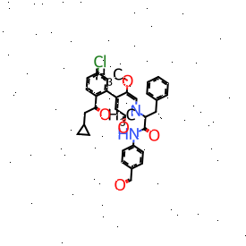 COC(=C/N(C)C(Cc1ccccc1)C(=O)Nc1ccc(C=O)cc1)/C(=C\C=O)c1cc(Cl)ccc1C(=O)CC1CC1